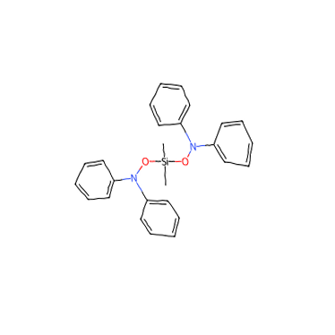 C[Si](C)(ON(c1ccccc1)c1ccccc1)ON(c1ccccc1)c1ccccc1